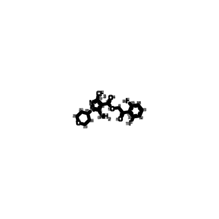 Nc1c(C(=O)OCC(=O)c2c(F)cccc2F)c(C(F)(F)F)nn1C1CCOCC1